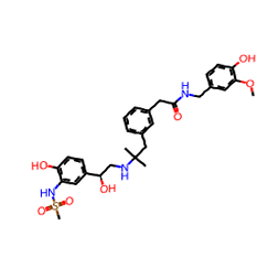 COc1cc(CNC(=O)Cc2cccc(CC(C)(C)NC[C@@H](O)c3ccc(O)c(NS(C)(=O)=O)c3)c2)ccc1O